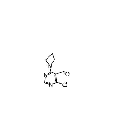 O=Cc1c(Cl)ncnc1N1CCC1